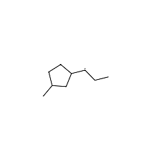 CC[CH]C1CCC(C)C1